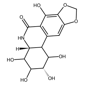 O=C1N[C@H]2C(O)C(O)[C@@H](O)C(O)C2c2cc3c(c(O)c21)OCO3